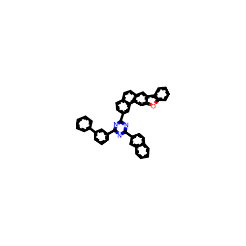 c1ccc(-c2cccc(-c3nc(-c4ccc5ccccc5c4)nc(-c4ccc5ccc6cc7c(cc6c5c4)oc4ccccc47)n3)c2)cc1